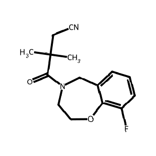 CC(C)(CC#N)C(=O)N1CCOc2c(F)cccc2C1